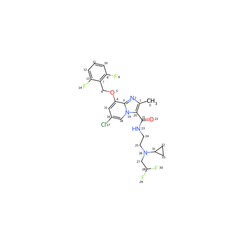 Cc1nc2c(OCc3c(F)cccc3F)cc(Cl)cn2c1C(=O)NCCN(CC(F)F)C1CC1